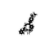 Cc1cccc(C)c1-c1cc2nc(n1)NS(=O)(=O)c1cccc(c1)C(C1CC3(CCN(C(=O)OC(C)C)CC3)C1)C[C@@H](C)O2